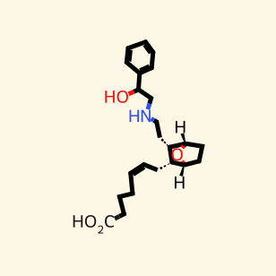 O=C(O)CCC/C=C\C[C@@H]1[C@H](CCNCC(O)c2ccccc2)[C@@H]2CC[C@H]1O2